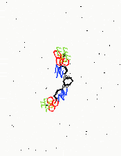 O=S(=O)(Oc1ccc([C@@H]2CCC[C@@H](c3ccc(OS(=O)(=O)C(F)(F)F)nn3)C2)nn1)C(F)(F)F